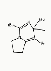 CC(C)C1=C2CCCN2C(C(C)(C)C)=NC1(C)C(C)(C)C